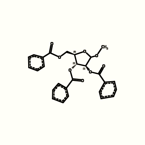 COC1O[C@H](COC(=O)c2ccccc2)[C@@H](OC(=O)c2ccccc2)[C@@H]1OC(=O)c1ccccc1